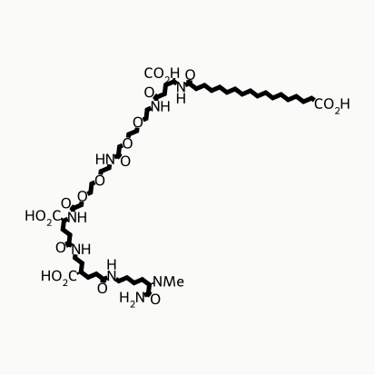 CN[C@@H](CCCCNC(=O)CC[C@H](CCNC(=O)CC[C@H](NC(=O)COCCOCCNC(=O)COCCOCCNC(=O)CC[C@H](NC(=O)CCCCCCCCCCCCCCCCC(=O)O)C(=O)O)C(=O)O)C(=O)O)C(N)=O